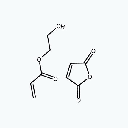 C=CC(=O)OCCO.O=C1C=CC(=O)O1